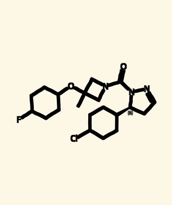 CC1(OC2CCC(F)CC2)CN(C(=O)N2N=CC[C@H]2C2CCC(Cl)CC2)C1